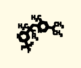 Cc1cc(C(C)C)cnc1CC(C)(C)c1cncc(C(F)(F)F)c1